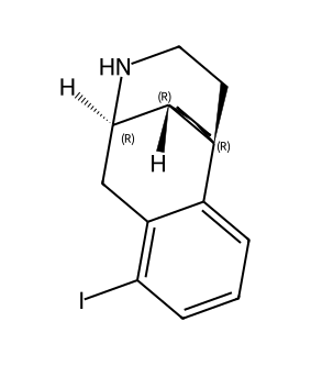 Ic1cccc2c1C[C@H]1NCC[C@@]23CCCC[C@@H]13